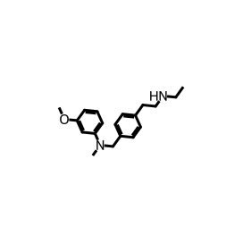 CCNCCc1ccc(CN(C)c2cccc(OC)c2)cc1